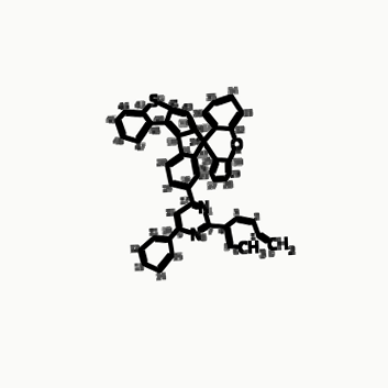 C=C/C=C\C(=C/C)c1nc(-c2ccccc2)cc(-c2ccc3c(c2)C2(c4ccccc4Oc4ccccc42)c2ccc4sc5ccccc5c4c2-3)n1